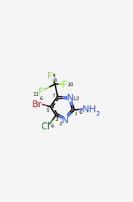 Nc1nc(Cl)c(Br)c(C(F)(F)F)n1